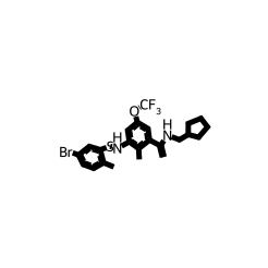 C=C(NCC1CCCC1)c1cc(OC(F)(F)F)cc(NSc2cc(Br)ccc2C)c1C